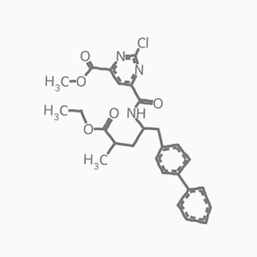 CCOC(=O)C(C)CC(Cc1ccc(-c2ccccc2)cc1)NC(=O)c1cc(C(=O)OC)nc(Cl)n1